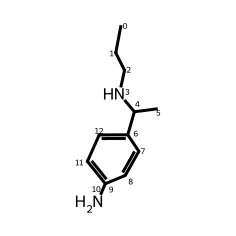 CCCNC(C)c1ccc(N)cc1